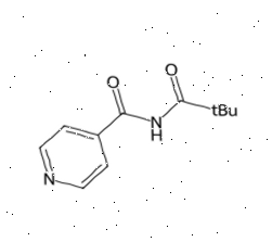 CC(C)(C)C(=O)NC(=O)c1ccncc1